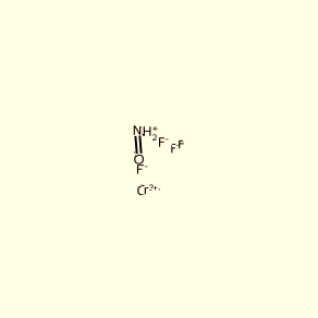 [Cr+3].[F-].[F-].[F-].[F-].[NH2+]=O